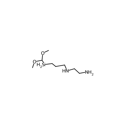 COC(OC)[SiH2]CCCNCCN